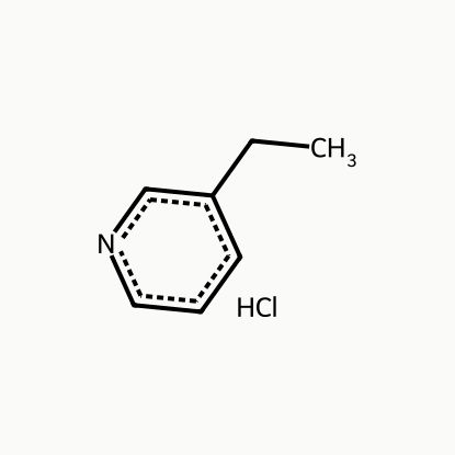 CCc1cccnc1.Cl